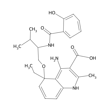 CCC1(OCC(NC(=O)c2ccccc2O)C(C)C)C=CC=C2NC(C)=C(C(=O)O)C(N)=C21